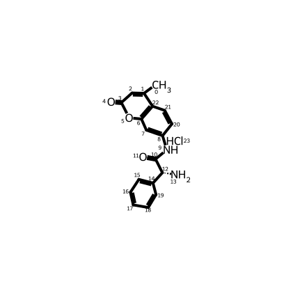 Cc1cc(=O)oc2cc(NC(=O)[C@H](N)c3ccccc3)ccc12.Cl